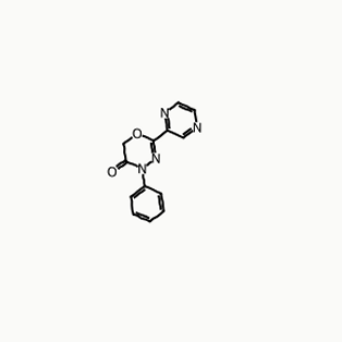 O=C1COC(c2cnccn2)=NN1c1ccccc1